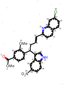 COC(=O)c1ccc(C(C/C=C/c2ccc3ccc(Cl)cc3n2)c2c[nH]c3ccc([N+](=O)[O-])cc23)c(OC)c1